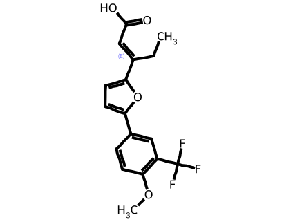 CC/C(=C\C(=O)O)c1ccc(-c2ccc(OC)c(C(F)(F)F)c2)o1